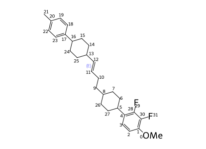 COc1ccc(C2CCC(CC/C=C/C3CCC(c4ccc(C)cc4)CC3)CC2)c(F)c1F